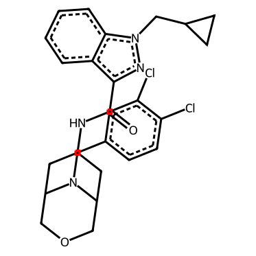 O=C(NC1CC2COCC(C1)N2Cc1ccc(Cl)c(Cl)c1)c1nn(CC2CC2)c2ccccc12